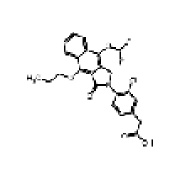 CCCOc1c2c(c(OC(F)F)c3ccccc13)CN(c1ccc(CC(=O)O)cc1Cl)C2=O